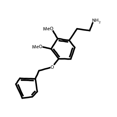 COc1c(CCN)ccc(OCc2ccccc2)c1OC